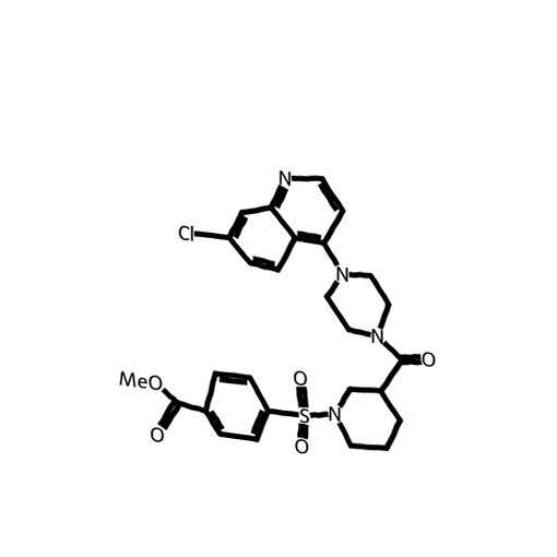 COC(=O)c1ccc(S(=O)(=O)N2CCCC(C(=O)N3CCN(c4ccnc5cc(Cl)ccc45)CC3)C2)cc1